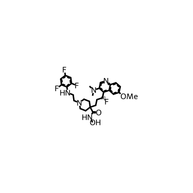 COc1ccc2ncc(N(C)C)c([C@H](F)CCC3(C(=O)NO)CCN(CCNc4c(F)cc(F)cc4F)CC3)c2c1